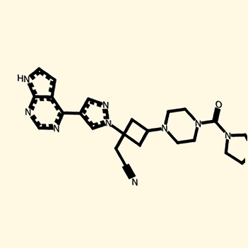 N#CCC1(n2cc(-c3ncnc4[nH]ccc34)cn2)CC(N2CCN(C(=O)N3CCCC3)CC2)C1